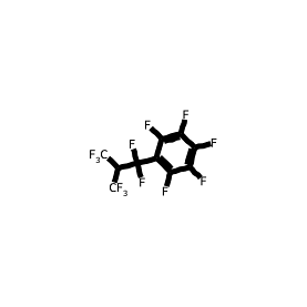 Fc1c(F)c(F)c(C(F)(F)[C](C(F)(F)F)C(F)(F)F)c(F)c1F